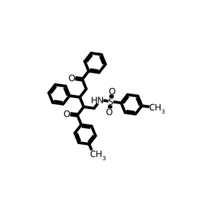 Cc1ccc(C(=O)C(CNS(=O)(=O)c2ccc(C)cc2)C(CC(=O)c2ccccc2)c2ccccc2)cc1